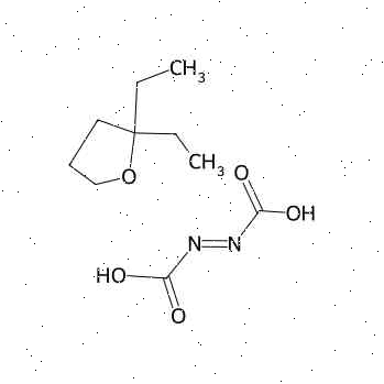 CCC1(CC)CCCO1.O=C(O)N=NC(=O)O